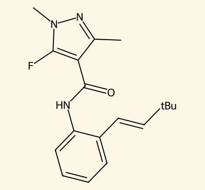 Cc1nn(C)c(F)c1C(=O)Nc1ccccc1C=CC(C)(C)C